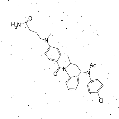 CC(=O)N(c1ccc(Cl)cc1)C1CC(C)N(C(=O)c2ccc(N(C)CCCC(N)=O)cc2)c2ccccc21